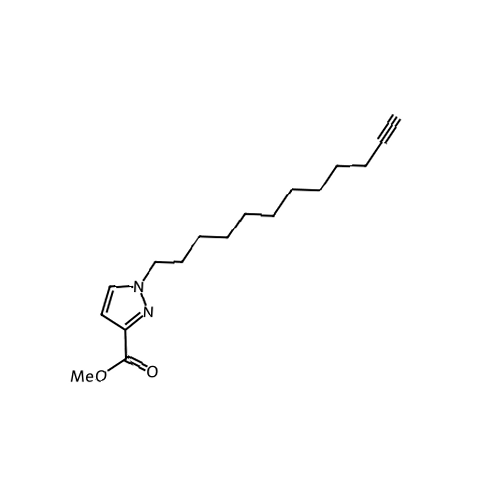 C#CCCCCCCCCCCn1ccc(C(=O)OC)n1